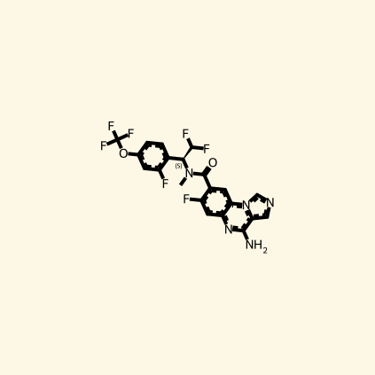 CN(C(=O)c1cc2c(cc1F)nc(N)c1cncn12)[C@@H](c1ccc(OC(F)(F)F)cc1F)C(F)F